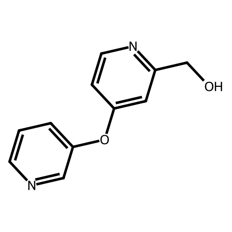 OCc1cc(Oc2cccnc2)ccn1